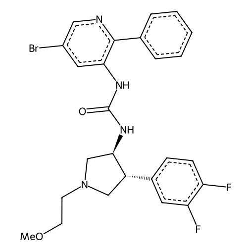 COCCN1C[C@@H](NC(=O)Nc2cc(Br)cnc2-c2ccccc2)[C@H](c2ccc(F)c(F)c2)C1